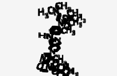 Cc1cc(Nc2cc3c(cn2)CCN(c2cnc4c(c2C)N(C(=O)OC(C)(C)C)CCO4)C3)ccc1N(CCN(C)C)C(=O)OC(C)(C)C